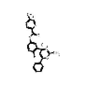 Cc1cnc(C(=O)Nc2ccc(F)c([C@]3(C)C=C(c4ccccc4)SC(N)=N3)c2)cn1